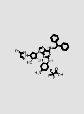 CCc1cnn([C@H]2C[C@@H](n3cnc4c(NCC(c5ccccc5)c5ccccc5)nc(NC5CCC(N)CC5)nc43)[C@H](O)[C@@H]2O)n1.O=C(O)C(F)(F)F